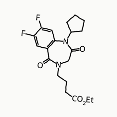 CCOC(=O)CCCN1CC(=O)N(C2CCCC2)c2cc(F)c(F)cc2C1=O